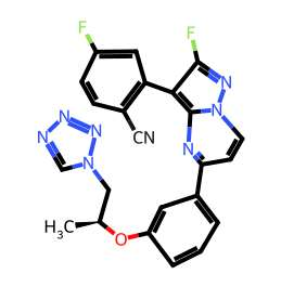 C[C@@H](Cn1cnnn1)Oc1cccc(-c2ccn3nc(F)c(-c4cc(F)ccc4C#N)c3n2)c1